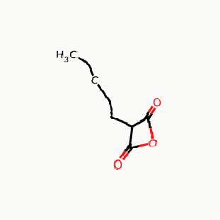 CCCCCC1C(=O)OC1=O